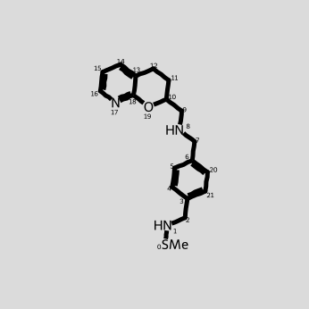 CSNCc1ccc(CNCC2CCc3cccnc3O2)cc1